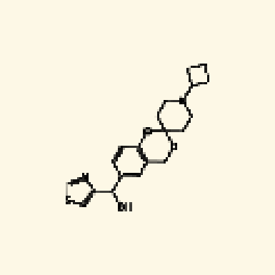 OC(c1ccc2c(c1)COC1(CCN(C3CCC3)CC1)O2)c1cscn1